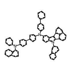 c1ccc(-c2ccc(N(c3ccc(-c4ccc(N(c5ccccc5)c5cccc6ccccc56)cc4)cc3)c3ccc4c(c3)c3c(n4-c4ccc5ccccc5c4)-c4cccc5cccc-3c45)cc2)cc1